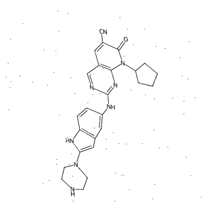 N#Cc1cc2cnc(Nc3ccc4[nH]c(N5CCNCC5)cc4c3)nc2n(C2CCCC2)c1=O